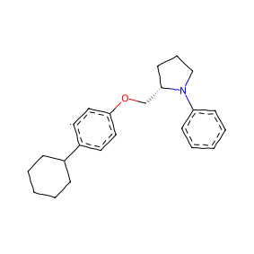 [c]1cc(OC[C@@H]2CCCN2c2ccccc2)ccc1C1CCCCC1